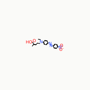 CCN(CCC=C(C)C(=O)O)c1ccc(N=Nc2ccc([N+](=O)[O-])cc2)cc1